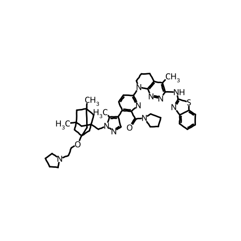 Cc1c(Nc2nc3ccccc3s2)nnc2c1CCCN2c1ccc(-c2cnn(CC34CC5(C)CC(C)(C3)CC(OCCN3CCCC3)(C5)C4)c2C)c(C(=O)N2CCCC2)n1